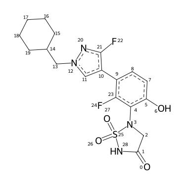 O=C1CN(c2c(O)ccc(-c3cn(CC4CCCCC4)nc3F)c2F)S(=O)(=O)N1